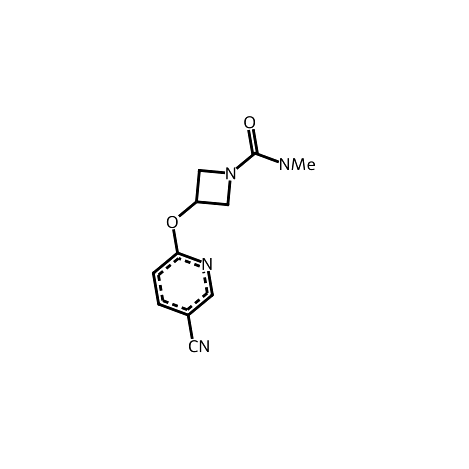 CNC(=O)N1CC(Oc2ccc(C#N)cn2)C1